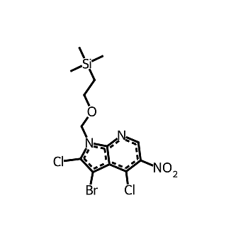 C[Si](C)(C)CCOCn1c(Cl)c(Br)c2c(Cl)c([N+](=O)[O-])cnc21